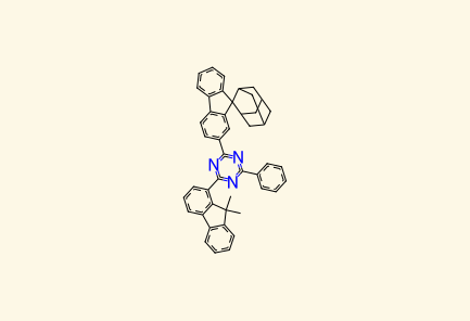 CC1(C)c2ccccc2-c2cccc(-c3nc(-c4ccccc4)nc(-c4ccc5c(c4)C4(c6ccccc6-5)C5CC6CC(C5)CC4C6)n3)c21